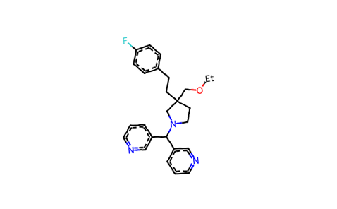 CCOCC1(CCc2ccc(F)cc2)CCN(C(c2cccnc2)c2cccnc2)C1